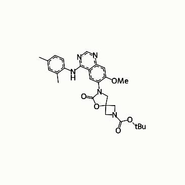 COc1cc2ncnc(Nc3ccc(C)cc3C)c2cc1N1CC2(CN(C(=O)OC(C)(C)C)C2)OC1=O